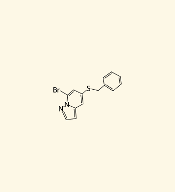 Brc1cc(SCc2ccccc2)cc2ccnn12